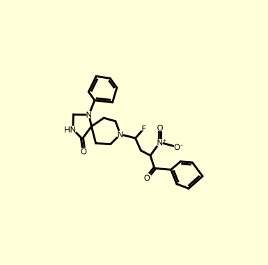 O=C(c1ccccc1)C(CC(F)N1CCC2(CC1)C(=O)NCN2c1ccccc1)[N+](=O)[O-]